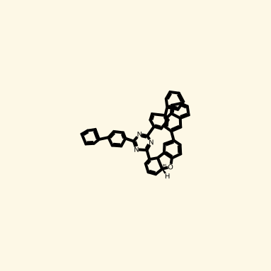 C1=C[C@H]2Oc3ccc(-c4ccc5ccccc5c4)cc3C2C(c2nc(-c3ccc(-c4ccccc4)cc3)nc(-c3ccc(-c4ccccc4)cc3)n2)=C1